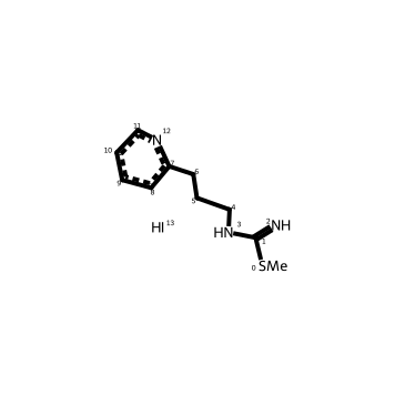 CSC(=N)NCCCc1ccccn1.I